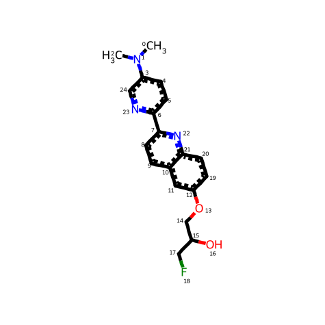 CN(C)c1ccc(-c2ccc3cc(OCC(O)CF)ccc3n2)nc1